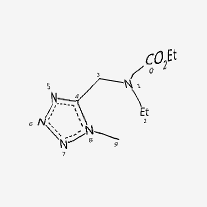 CCOC(=O)N(CC)Cc1nnnn1C